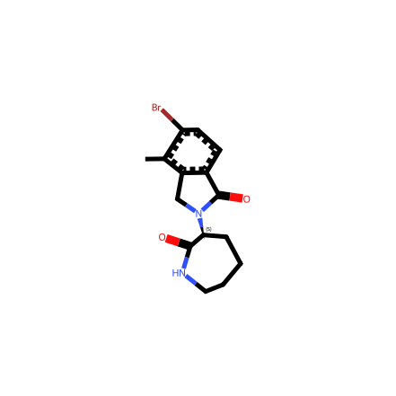 Cc1c(Br)ccc2c1CN([C@H]1CCCCNC1=O)C2=O